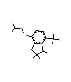 OC1c2c(C(F)(F)F)ccc(OCC(F)F)c2CC1(F)F